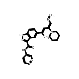 C=N/C=C(\C=C(/C)c1ccc2[nH]nc(C(=O)Nc3ccnnc3)c2c1)N1CCCCC1